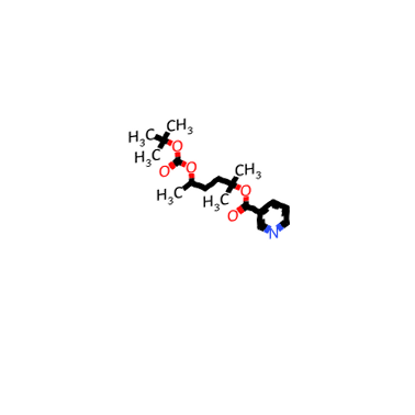 CC(CCC(C)(C)OC(=O)c1cccnc1)OC(=O)OC(C)(C)C